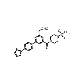 CS(=O)(=O)N1CCN(C(=O)c2cc(CC=O)nc(-c3ccc(-n4cccn4)cc3)c2)CC1